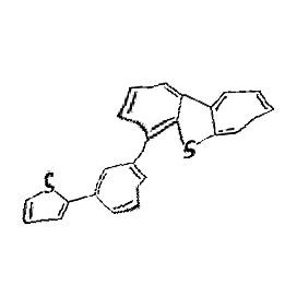 c1cc(-c2cccs2)cc(-c2cccc3c2sc2ccccc23)c1